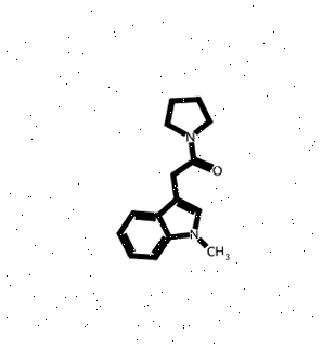 Cn1cc(CC(=O)N2CCCC2)c2ccccc21